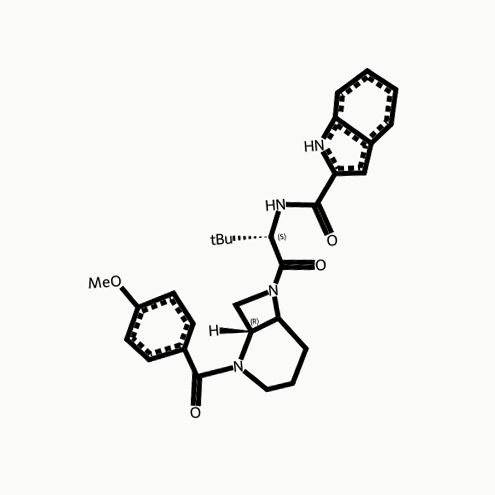 COc1ccc(C(=O)N2CCCC3[C@H]2CN3C(=O)[C@@H](NC(=O)c2cc3ccccc3[nH]2)C(C)(C)C)cc1